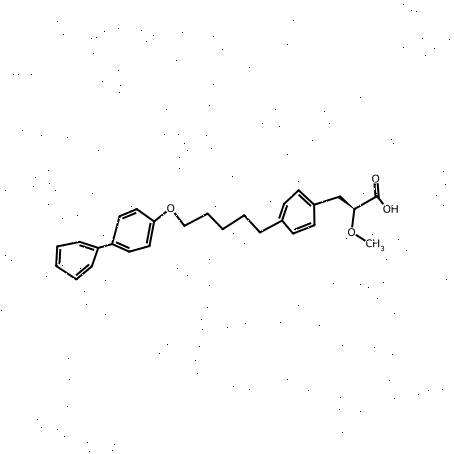 CO[C@@H](Cc1ccc(CCCCCOc2ccc(-c3ccccc3)cc2)cc1)C(=O)O